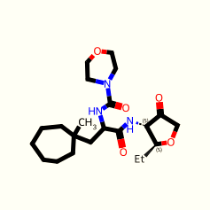 CC[C@@H]1OCC(=O)[C@H]1NC(=O)C(CC1(C)CCCCCC1)NC(=O)N1CCOCC1